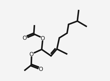 CC(=O)OC(C=C(C)CCCC(C)C)OC(C)=O